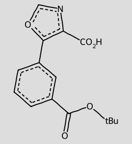 CC(C)(C)OC(=O)c1cccc(-c2ocnc2C(=O)O)c1